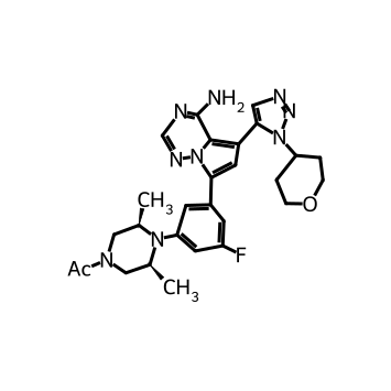 CC(=O)N1C[C@@H](C)N(c2cc(F)cc(-c3cc(-c4cnnn4C4CCOCC4)c4c(N)ncnn34)c2)[C@@H](C)C1